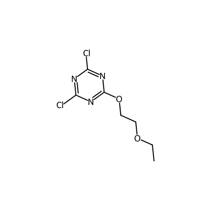 CCOCCOc1nc(Cl)nc(Cl)n1